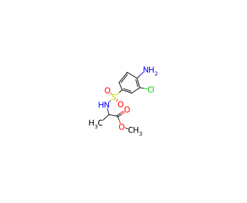 COC(=O)C(C)NS(=O)(=O)c1ccc(N)c(Cl)c1